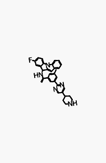 C=C(NC1c2cc(F)ccc2-n2c1cc1ccccc12)c1cc(C)cc(-c2ncc(C3CCNCC3)cn2)c1